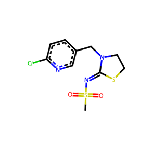 CS(=O)(=O)N=C1SCCN1Cc1ccc(Cl)nc1